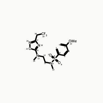 C=C(/C=C\C(=C)S(=O)(=O)N(C)CCN(C)c1nc(CC(F)(F)F)no1)OC